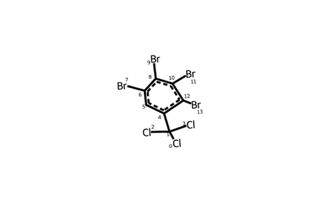 ClC(Cl)(Cl)c1cc(Br)c(Br)c(Br)c1Br